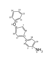 Nc1ccc(-c2ccc(Oc3ccccc3)cc2)cc1